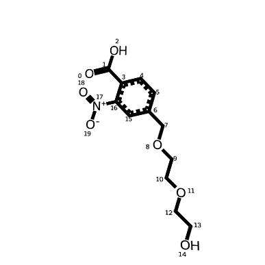 O=C(O)c1ccc(COCCOCCO)cc1[N+](=O)[O-]